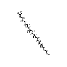 CCCCCOCCOCCOCCCC(=O)OCCCCCCCC(C)C